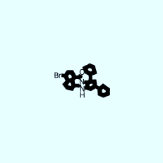 O=C1c2ccc(Br)c3cccc(c23)C2Nc3cc(-c4ccccc4)cc(-c4ccccc4)c3N12